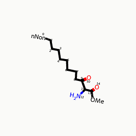 CCCCCCCCCCCCCCCCCC(=O)C(N)C(=O)OC